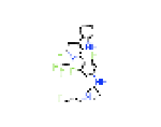 CC1Cc2c([nH]c3ccccc23)C(c2c(F)cc(NC3CCN(CCCF)C3)cc2F)N1CC(F)(F)F